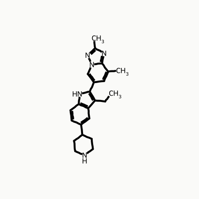 CCc1c(-c2cc(C)c3nc(C)nn3c2)[nH]c2ccc(C3CCNCC3)cc12